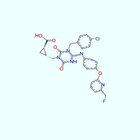 O=C(O)[C@@H]1C[C@H]1Cn1c(=O)[nH]/c(=N\c2ccc(Oc3cccc(CF)n3)cc2)n(Cc2ccc(Cl)cc2)c1=O